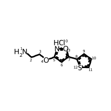 Cl.NCCOc1cc(-c2cccs2)on1